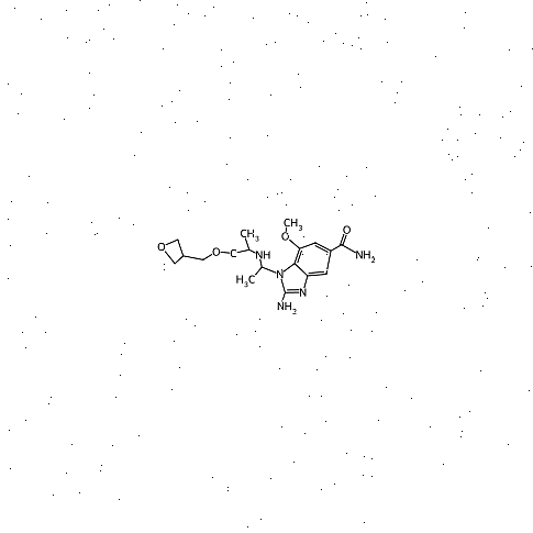 COc1cc(C(N)=O)cc2nc(N)n(C(C)NC(C)COCC3COC3)c12